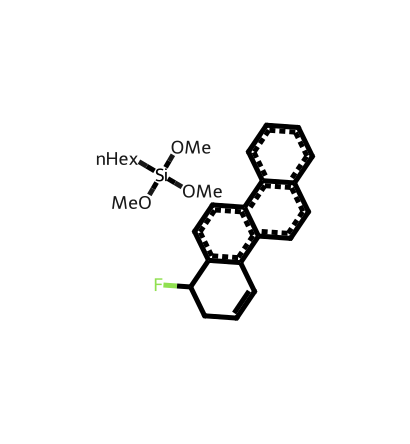 CCCCCC[Si](OC)(OC)OC.FC1CC=Cc2c1ccc1c2ccc2ccccc21